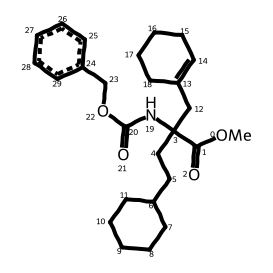 COC(=O)C(CCC1CCCCC1)(CC1=CCCCC1)NC(=O)OCc1ccccc1